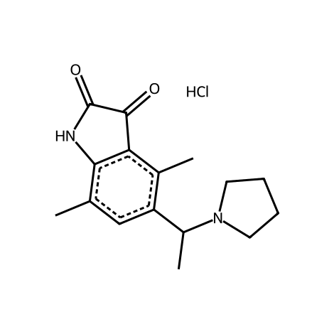 Cc1cc(C(C)N2CCCC2)c(C)c2c1NC(=O)C2=O.Cl